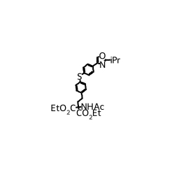 CCOC(=O)C(CCc1ccc(Sc2ccc(-c3coc(C(C)C)n3)cc2)cc1)(NC(C)=O)C(=O)OCC